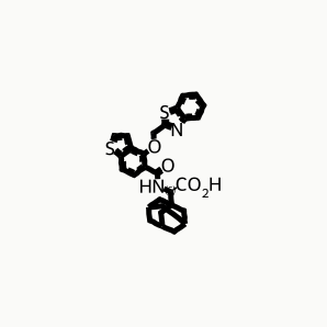 O=C(N[C@H](C(=O)O)C12CC3CC(CC(C3)C1)C2)c1ccc2sccc2c1OCc1nc2ccccc2s1